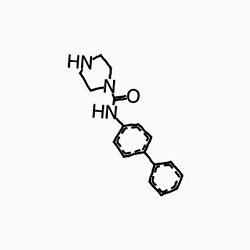 O=C(Nc1ccc(-c2ccccc2)cc1)N1CCNCC1